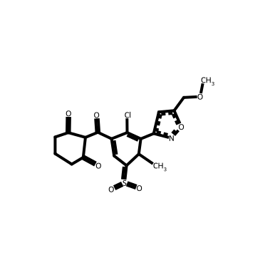 COCc1cc(C2=C(Cl)C(C(=O)C3C(=O)CCCC3=O)=CC(=S(=O)=O)C2C)no1